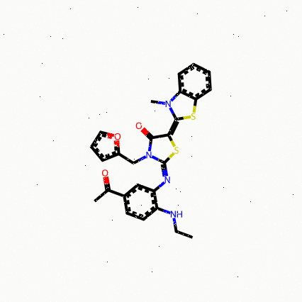 CCNc1ccc(C(C)=O)cc1/N=C1/S/C(=C2\Sc3ccccc3N2C)C(=O)N1Cc1ccco1